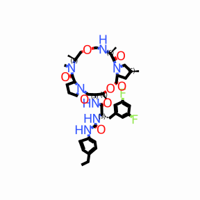 CCc1ccc(NC(=O)N[C@@H](Cc2cc(F)cc(F)c2)C(=O)N[C@@H]2C(=O)N3CCCC3C(=O)N(C)[C@@H](C)COCN[C@@H](C)C(=O)N3C[C@@H](C)CC3C(=O)O[C@H]2C)cc1